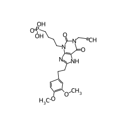 C#CCn1c(=O)c2[nH]c(CCc3ccc(OC)c(OC)c3)nc2n(CCCCP(=O)(O)O)c1=O